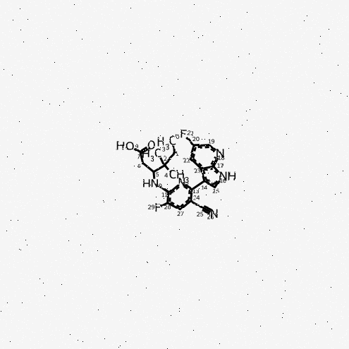 CCC(C)(C)C(CC(=O)O)Nc1nc(-c2c[nH]c3ncc(F)cc23)c(C#N)cc1F